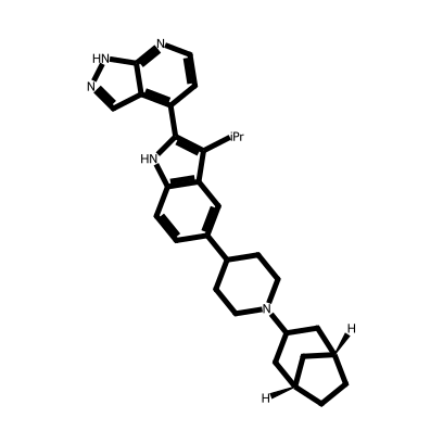 CC(C)c1c(-c2ccnc3[nH]ncc23)[nH]c2ccc(C3CCN(C4C[C@H]5CC[C@@H](C4)C5)CC3)cc12